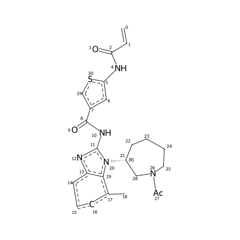 C=CC(=O)Nc1cc(C(=O)Nc2nc3cccc(C)c3n2[C@@H]2CCCCN(C(C)=O)C2)cs1